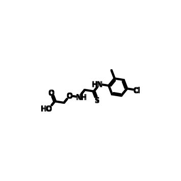 Cc1cc(Cl)ccc1NC(=S)CNOCC(=O)O